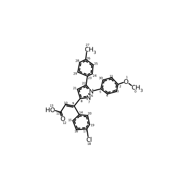 COc1ccc(-n2nc(/C(=C/C(=O)O)c3ccc(Cl)cc3)cc2-c2ccc(C)cc2)cc1